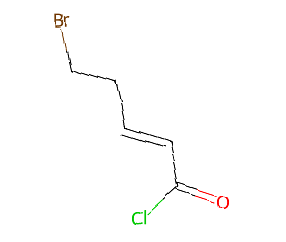 O=C(Cl)C=CCCBr